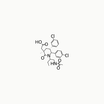 CCC(CNS(C)(=O)=O)N1C(=O)[C@@](C)(CC(=O)O)C[C@H](c2cccc(Cl)c2)C1c1ccc(Cl)cc1